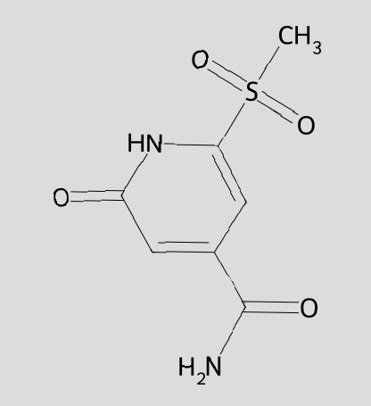 CS(=O)(=O)c1cc(C(N)=O)cc(=O)[nH]1